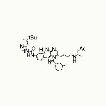 C/N=C(\C=C(/C)C(C)(C)C)NC(=O)Nc1ccc(-c2nc([C@@H]3CCCC(C)C3)n3c(/C=C/CCNC(C)CC(C)=O)cnc(N)c23)cc1